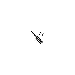 C#CC.[Ag]